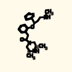 CNCCC(Oc1ccccc1CC(=O)N1C[C@@H](C)N[C@@H](C)C1)c1cccs1